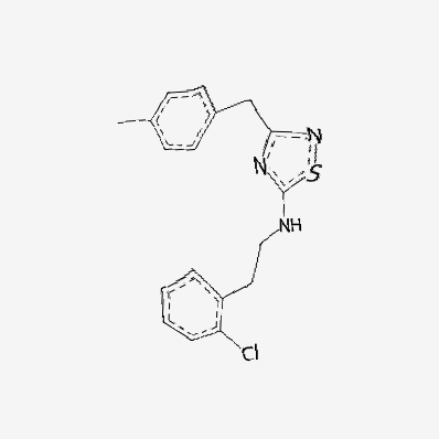 Cc1ccc(Cc2nsc(NCCc3ccccc3Cl)n2)cc1